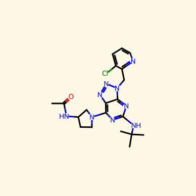 CC(=O)NC1CCN(c2nc(NC(C)(C)C)nc3c2nnn3Cc2ncccc2Cl)C1